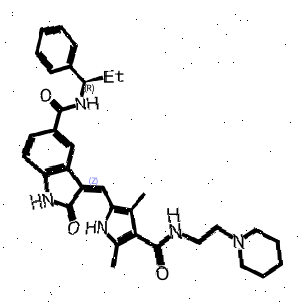 CC[C@@H](NC(=O)c1ccc2c(c1)/C(=C/c1[nH]c(C)c(C(=O)NCCN3CCCCC3)c1C)C(=O)N2)c1ccccc1